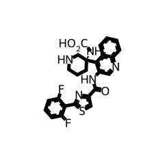 O=C(O)N[C@]1(c2c(NC(=O)c3csc(-c4c(F)cccc4F)n3)cnc3ccccc23)CCCNC1